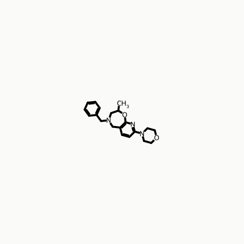 CC1CN(Cc2ccccc2)Cc2ccc(N3CCOCC3)nc2O1